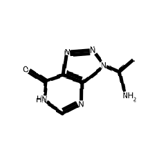 CC(N)n1nnc2c(=O)[nH]cnc21